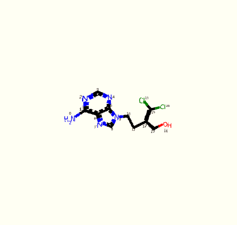 Nc1ncnc2c1ncn2CCC(CO)=C(Cl)Cl